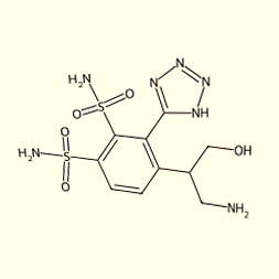 NCC(CO)c1ccc(S(N)(=O)=O)c(S(N)(=O)=O)c1-c1nnn[nH]1